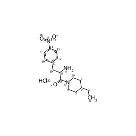 CCC1CCN(C(=O)C(N)Cc2ccc([N+](=O)[O-])cc2)CC1.Cl